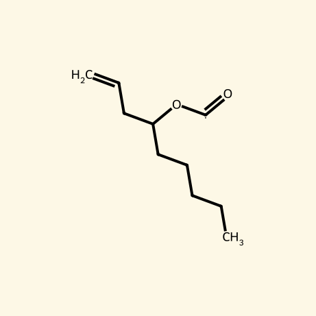 C=CCC(CCCCC)O[C]=O